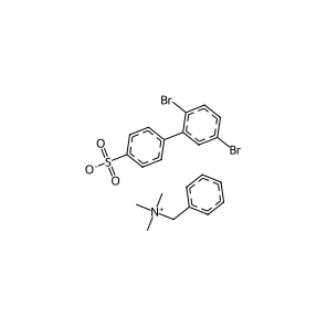 C[N+](C)(C)Cc1ccccc1.O=S(=O)([O-])c1ccc(-c2cc(Br)ccc2Br)cc1